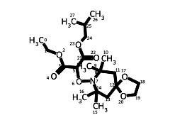 CCOC(=O)C(ON1C(C)(C)CC2(CC1(C)C)OCCO2)C(=O)OCC(C)C